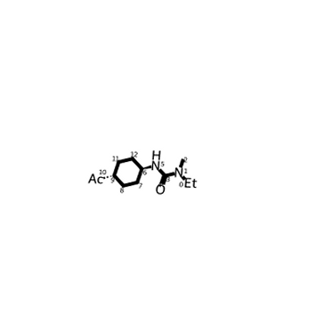 CCN(C)C(=O)N[C@H]1CC[C@H](C(C)=O)CC1